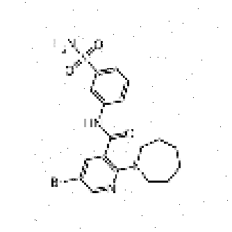 NS(=O)(=O)c1cccc(NC(=O)c2cc(Br)cnc2N2CCCCCC2)c1